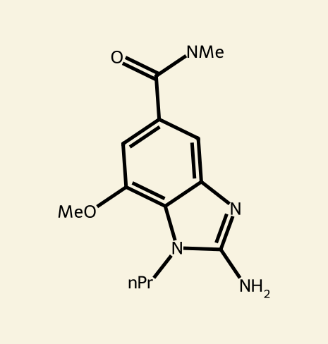 CCCn1c(N)nc2cc(C(=O)NC)cc(OC)c21